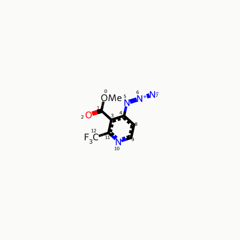 COC(=O)c1c(N=[N+]=[N-])ccnc1C(F)(F)F